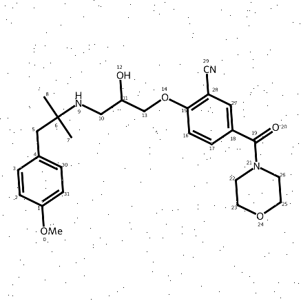 COc1ccc(CC(C)(C)NCC(O)COc2ccc(C(=O)N3CCOCC3)cc2C#N)cc1